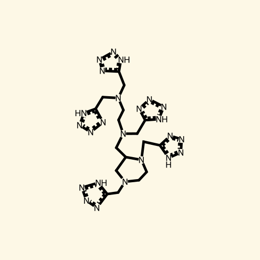 C(CN(Cc1nnn[nH]1)CC1CN(Cc2nnn[nH]2)CCN1Cc1nnn[nH]1)N(Cc1nnn[nH]1)Cc1nnn[nH]1